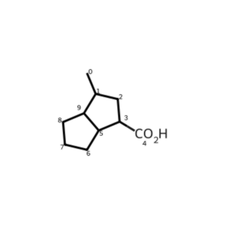 CC1CC(C(=O)O)C2CCCC12